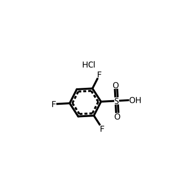 Cl.O=S(=O)(O)c1c(F)cc(F)cc1F